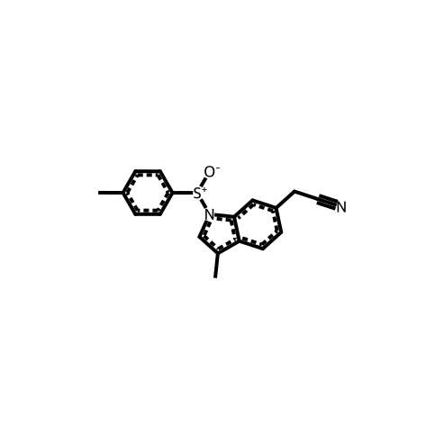 Cc1ccc([S+]([O-])n2cc(C)c3ccc(CC#N)cc32)cc1